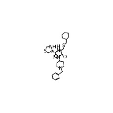 O=C(N[C@@H](CSCC1CCCCC1)C(=O)NC1CCN(Cc2ccccc2)CC1)[C@@H]1CSCN1